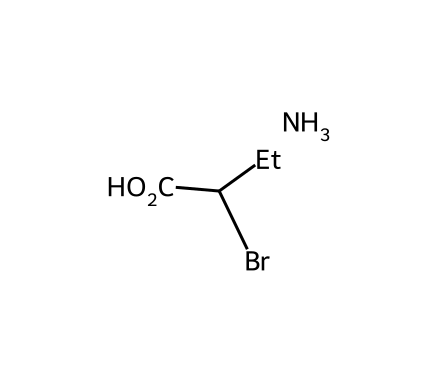 CCC(Br)C(=O)O.N